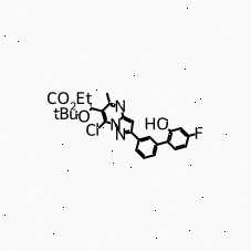 CCOC(=O)[C@@H](OC(C)(C)C)c1c(C)nc2cc(-c3cccc(-c4ccc(F)cc4O)c3)nn2c1Cl